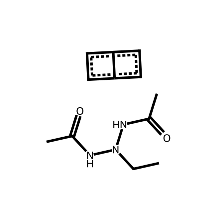 CCN(NC(C)=O)NC(C)=O.c1cc2ccc1-2